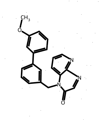 COc1cccc(-c2cccc(Cn3c(=O)cnc4ncccc43)c2)c1